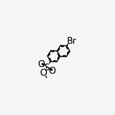 COS(=O)(=O)c1ccc2cc(Br)ccc2c1